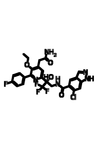 CCOc1c(CC(N)=O)cc([C@@](O)(CNC(=O)c2cc3cn[nH]c3cc2Cl)C(F)(F)F)nc1-c1ccc(F)cc1